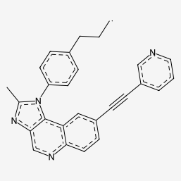 [CH2]CCc1ccc(-n2c(C)nc3cnc4ccc(C#Cc5cccnc5)cc4c32)cc1